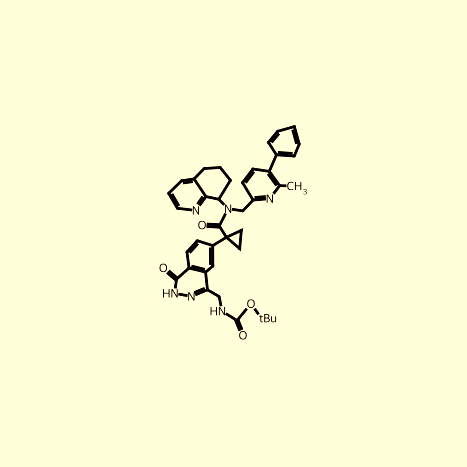 Cc1nc(CN(C(=O)C2(c3ccc4c(=O)[nH]nc(CNC(=O)OC(C)(C)C)c4c3)CC2)C2CCCc3cccnc32)ccc1-c1ccccc1